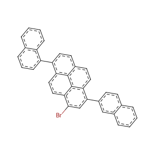 Brc1cc(-c2ccc3ccccc3c2)c2ccc3ccc(-c4cccc5ccccc45)c4ccc1c2c34